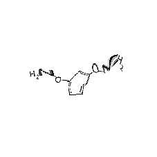 NOc1cccc(ON)c1